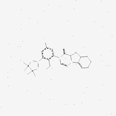 CC(=O)OCc1c(B2OC(C)(C)C(C)(C)O2)cc(F)cc1N1C=CN2C3=CCCCC3CC2C1=O